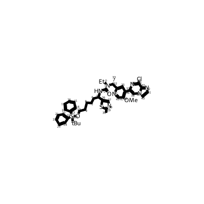 CCN(C(=O)NC(CCCCCO[Si](c1ccccc1)(c1ccccc1)C(C)(C)C)c1cnc(C)s1)[C@H](C)c1cc(-c2cn3ccnc3c(Cl)n2)c(OC)cn1